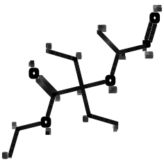 CCOC(=O)C(CC)(CC)OC(C)P=O